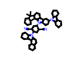 CC1(C)c2ccccc2-c2c1ccc1c3cc(-n4c5ccccc5c5ccccc54)ccc3n(-c3cc(C#N)c(-n4c5ccccc5c5c6ccccc6ccc54)cc3C#N)c21